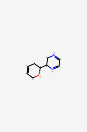 [C]1N=CC=NC1C1CC=CCO1